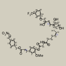 COc1cc(/C=C/C(=O)OCc2ccc(CO[N+](=O)[O-])cc2)ccc1OC(=O)CNC(=O)CCC/C=C\C[C@@H]1[C@@H](/C=C/[C@@H](O)COc2cccc(C(F)(F)F)c2)[C@H](O)C[C@@H]1O